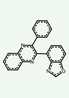 c1ccc(-c2nc3ccccc3nc2-c2cccc3ocnc23)cc1